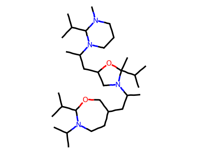 CC(C)C1OCC(CC(C)N2CC(CC(C)N3CCCN(C)C3C(C)C)OC2(C)C(C)C)CCN1C(C)C